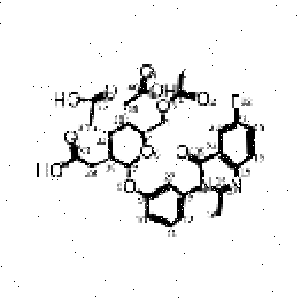 CC(=O)OC[C@H]1O[C@@H](Oc2cccc(-n3c(C)nc4ccc(F)cc4c3=O)c2)[C@@H](CC(=O)O)[C@H](CC(=O)O)[C@@H]1CC(=O)O